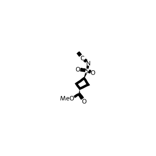 C=C=NS(=O)(=O)[C@H]1C[C@H](C(=O)OC)C1